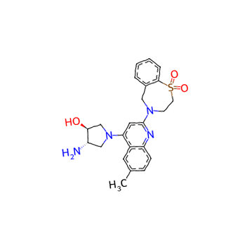 Cc1ccc2nc(N3CCS(=O)(=O)c4ccccc4C3)cc(N3C[C@H](N)[C@@H](O)C3)c2c1